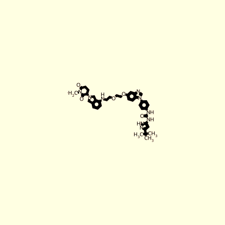 [CH2]N1C(=O)CCC(N2Cc3cccc(NCCOCCOc4ccc5c(c4)ncn5-c4ccc(NC(=O)Nc5cc(C(C)(C)C)n[nH]5)cc4)c3C2)C1=O